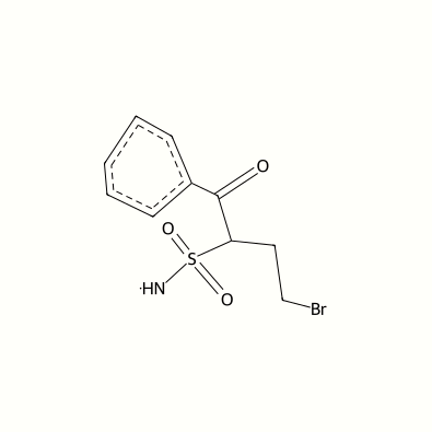 [NH]S(=O)(=O)C(CCBr)C(=O)c1ccccc1